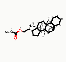 COC(=O)OCC[C@H]1CC[C@H]2[C@@H]3CC=C4CCCC[C@]4(C)[C@H]3CC[C@]12C